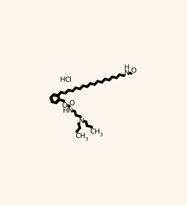 CCCCN(CCCC)CCCNC(=O)OCc1ccccc1CCCCCCCCCCCCCCCCCCNC=O.Cl